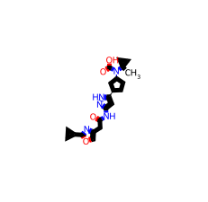 CC1(N(C(=O)O)[C@@H]2CC[C@H](c3cc(NC(=O)Cc4coc(C5CC5)n4)n[nH]3)C2)CC1